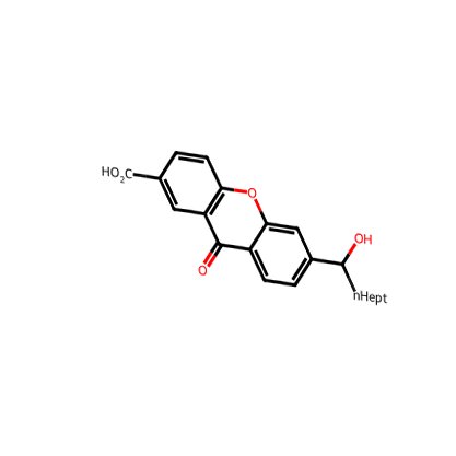 CCCCCCCC(O)c1ccc2c(=O)c3cc(C(=O)O)ccc3oc2c1